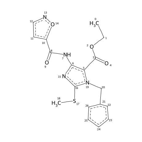 CCOC(=O)c1c(NC(=O)c2ccno2)nc(SC)n1Cc1ccccc1